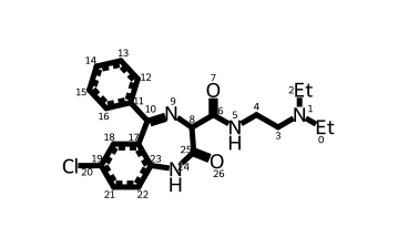 CCN(CC)CCNC(=O)C1N=C(c2ccccc2)c2cc(Cl)ccc2NC1=O